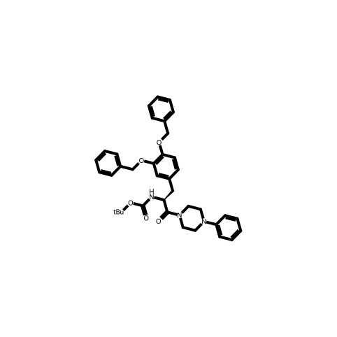 CC(C)(C)OC(=O)N[C@@H](Cc1ccc(OCc2ccccc2)c(OCc2ccccc2)c1)C(=O)N1CCN(c2ccccc2)CC1